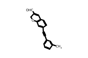 Cc1cccc(C#Cc2ccc3c(c2)OCC(C=O)=C3)c1